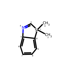 C[Si]1(C)C=Nc2ccccc21